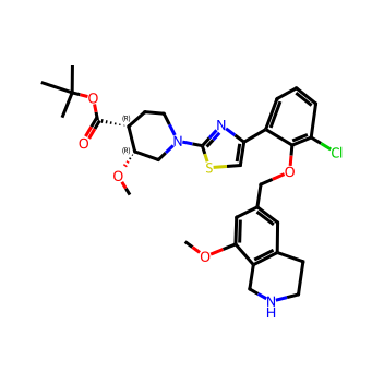 COc1cc(COc2c(Cl)cccc2-c2csc(N3CC[C@@H](C(=O)OC(C)(C)C)[C@@H](OC)C3)n2)cc2c1CNCC2